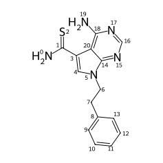 NC(=S)c1cn(CCc2ccccc2)c2ncnc(N)c12